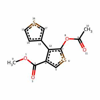 COC(=O)c1csc(OC(C)=O)c1-c1ccsc1